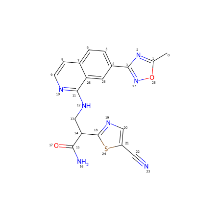 Cc1nc(-c2ccc3ccnc(NCC(C(N)=O)c4ncc(C#N)s4)c3c2)no1